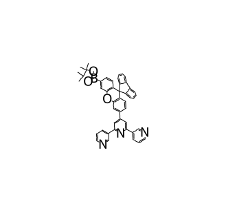 CC1(C)OB(c2ccc3c(c2)Oc2cc(-c4cc(-c5cccnc5)nc(-c5cccnc5)c4)ccc2C32c3ccccc3-c3ccccc32)OC1(C)C